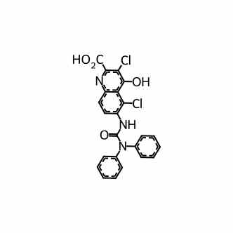 O=C(O)c1nc2ccc(NC(=O)N(c3ccccc3)c3ccccc3)c(Cl)c2c(O)c1Cl